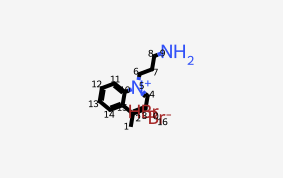 Br.Cc1cc[n+](CCCN)c2ccccc12.[Br-]